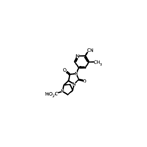 Cc1cc(N2C(=O)C3C4CC(CN4C(=O)O)N3C2=O)cnc1C#N